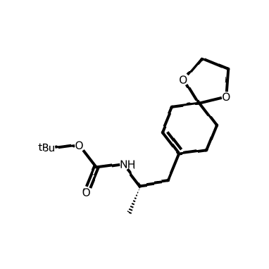 C[C@@H](CC1=CCC2(CC1)OCCO2)NC(=O)OC(C)(C)C